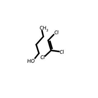 CCCCO.ClC=C(Cl)Cl